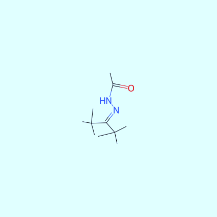 CC(=O)NN=C(C(C)(C)C)C(C)(C)C